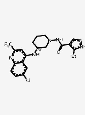 CCc1[nH]ncc1C(=O)NN1CCC[C@H](Nc2cc(C(F)(F)F)nc3ccc(Cl)cc23)C1